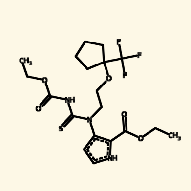 CCOC(=O)NC(=S)N(CCOC1(C(F)(F)F)CCCC1)c1cc[nH]c1C(=O)OCC